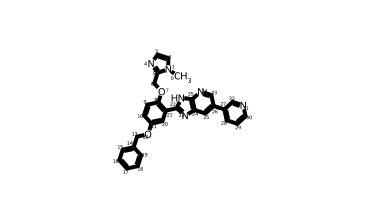 Cn1ccnc1COc1ccc(OCc2ccccc2)cc1-c1nc2cc(-c3cccnc3)cnc2[nH]1